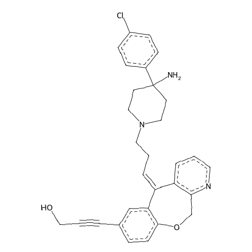 NC1(c2ccc(Cl)cc2)CCN(CC/C=C2/c3cc(C#CCO)ccc3OCc3ncccc32)CC1